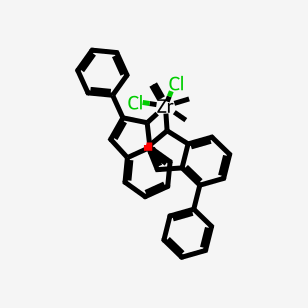 [CH2]=[Zr]([CH3])([CH3])([Cl])([Cl])([CH]1C=Cc2c(-c3ccccc3)cccc21)[CH]1C(c2ccccc2)=Cc2ccccc21